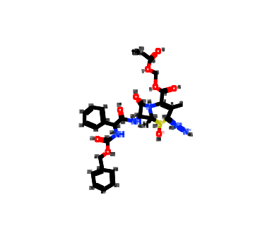 CC1=C(C(=O)OCOC(=O)C(C)(C)C)N2C(=O)C(NC(=O)C(NC(=O)OCc3ccccc3)c3ccccc3)[C@H]2[S+]([O-])C1=[N+]=[N-]